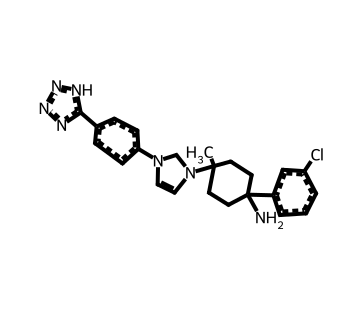 CC1(N2C=CN(c3ccc(-c4nnn[nH]4)cc3)C2)CCC(N)(c2cccc(Cl)c2)CC1